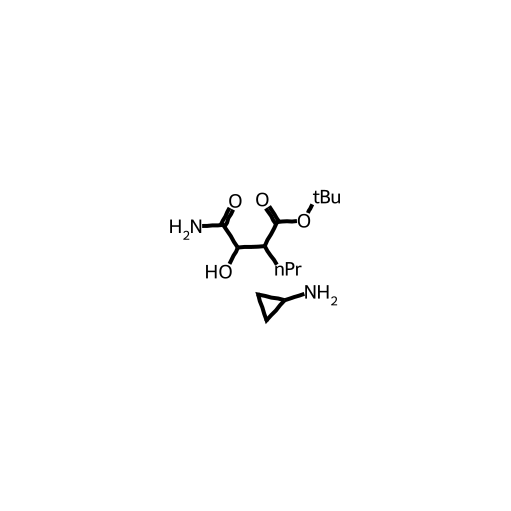 CCCC(C(=O)OC(C)(C)C)C(O)C(N)=O.NC1CC1